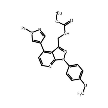 CC(C)n1cc(-c2ccnc3c2c(CNC(=O)OC(C)(C)C)nn3-c2ccc(OC(F)(F)F)cc2)cn1